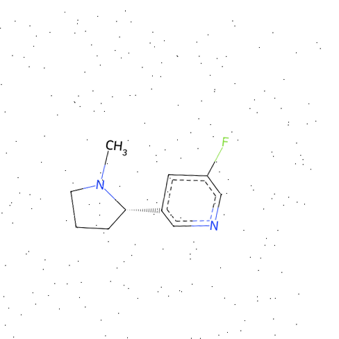 CN1CCC[C@H]1c1cncc(F)c1